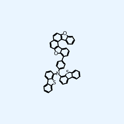 c1ccc2c(c1)oc1ccc3ccc4oc5c(-c6ccc(N(c7cccc8c7sc7ccccc78)c7cccc8c7sc7ccccc78)cc6)cccc5c4c3c12